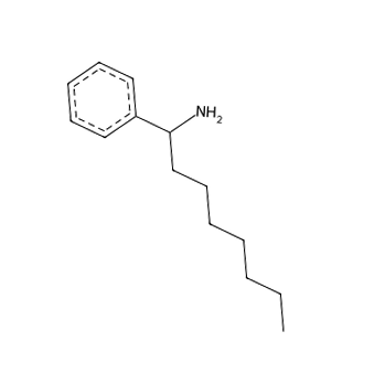 CCCCCCCC(N)c1ccccc1